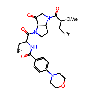 COC(CC(C)C)C(=O)N1CC(=O)C2C1CCN2C(=O)C(CC(C)C)NC(=O)c1ccc(N2CCOCC2)cc1